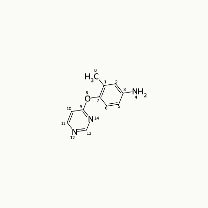 Cc1cc(N)ccc1Oc1ccncn1